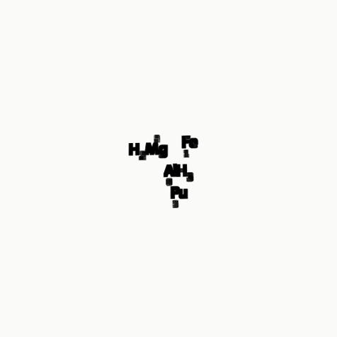 [AlH3].[Fe].[MgH2].[Pu]